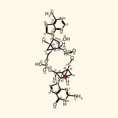 Nc1nc2c(ncn2[C@H]2[C@@H]3OP(=O)(O)OC[C@@]45C[C@@H]4[C@@H](n4cnc6c(N)ncnc64)[C@H](O)[C@@H]5O[PH](=O)OC[C@]4(C[C@H]24)[C@H]3O)c(=O)[nH]1